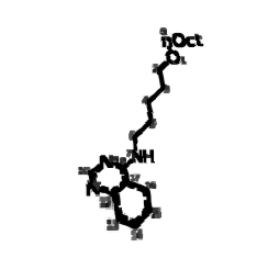 CCCCCCCCOCCCCCNc1ncnc2ccccc12